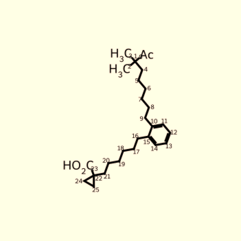 CC(=O)C(C)(C)CCCCCCc1ccccc1CCCCCCC1(C(=O)O)CC1